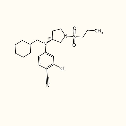 CCCS(=O)(=O)N1CC[C@H](N(CC2CCCCC2)c2ccc(C#N)c(Cl)c2)C1